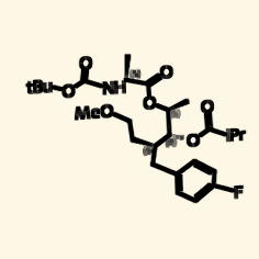 COCC[C@H](Cc1ccc(F)cc1)[C@@H](OC(=O)C(C)C)[C@H](C)OC(=O)[C@H](C)NC(=O)OC(C)(C)C